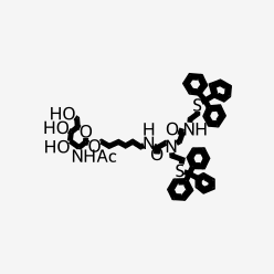 CC(=O)NC1C(OCCCCCCNC(=O)CN(CCSC(c2ccccc2)(c2ccccc2)c2ccccc2)CC(=O)NCCSC(c2ccccc2)(c2ccccc2)c2ccccc2)OC(CO)C(O)C1O